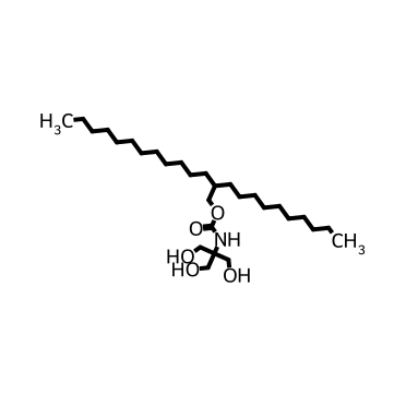 CCCCCCCCCCCCC(CCCCCCCCCC)COC(=O)NC(CO)(CO)CO